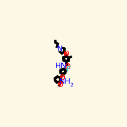 CCCCN1CCC(Oc2ccc(C(=O)Nc3ccc(OC4C=CC=CC4(N)OC)cc3F)cc2C)CC1